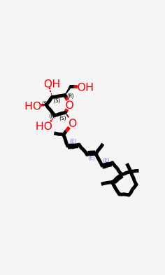 CC1=C(/C=C/C(C)=C/C=C/C(C)O[C@H]2O[C@H](CO)[C@@H](O)[C@H](O)[C@H]2O)C(C)(C)CCC1